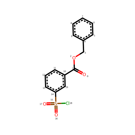 O=C(OCc1ccccc1)c1cccc(S(=O)(=O)Cl)c1